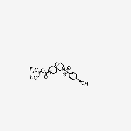 C#Cc1ccc(S(=O)(=O)N2CCOC3(CCN(C(=O)O[C@H](CO)C(F)(F)F)CC3)C2)cc1